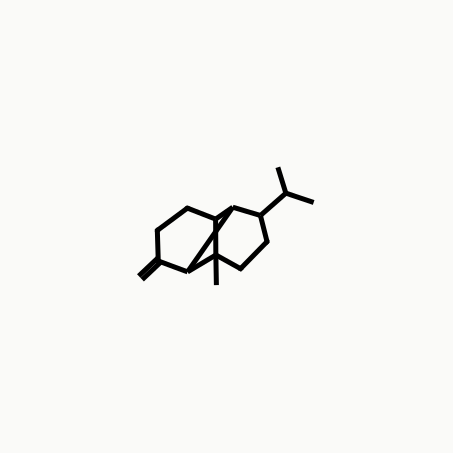 C=C1CCC2C3C(C(C)C)CCC2(C)C13